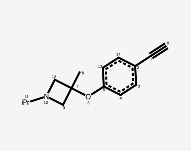 C#Cc1ccc(OC2(C)CN(C(C)C)C2)cc1